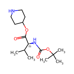 CC(C)[C@H](NC(=O)OC(C)(C)C)C(=O)OC1CCNCC1